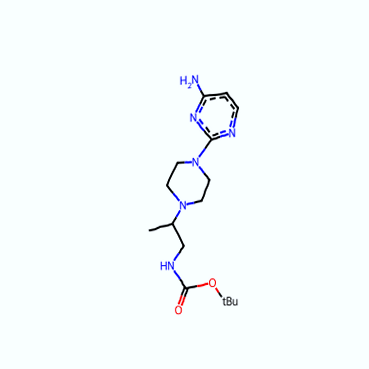 CC(CNC(=O)OC(C)(C)C)N1CCN(c2nccc(N)n2)CC1